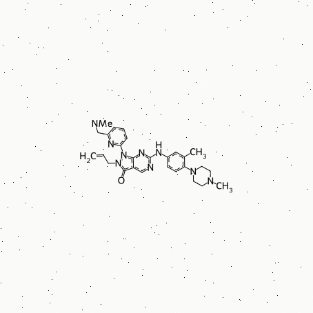 C=CCn1c(=O)c2cnc(Nc3ccc(N4CCN(C)CC4)c(C)c3)nc2n1-c1cccc(CNC)n1